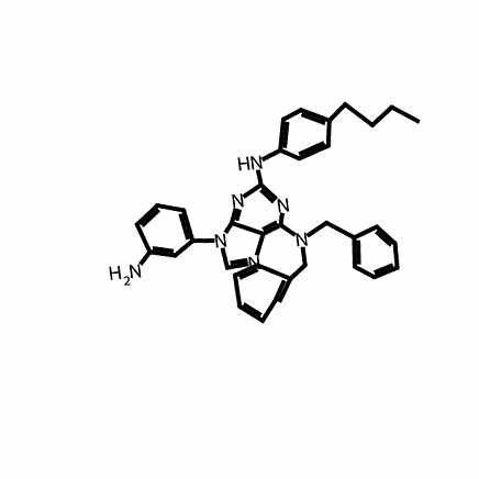 CCCCc1ccc(Nc2nc(N(Cc3ccccc3)Cc3ccccc3)c3ncn(-c4cccc(N)c4)c3n2)cc1